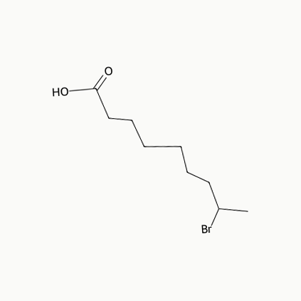 CC(Br)CCCCCCC(=O)O